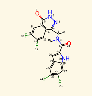 CC(c1n[nH]c(=O)c2cc(F)c(F)cc12)N(C)C(=O)c1cc2cc(F)c(F)cc2[nH]1